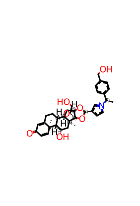 C[C@H](c1ccc(CO)cc1)n1ccc([C@@H]2O[C@@H]3C[C@H]4[C@@H]5CCC6=CC(=O)C=C[C@]6(C)[C@H]5[C@@H](O)C[C@]4(C)[C@]3(C(=O)CO)O2)c1